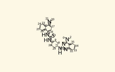 CN(C)c1nc(N[C@H]2CC[C@@H](NC(=S)Nc3ccc(N(C)C)c4ccccc34)CC2)nc2ccccc12